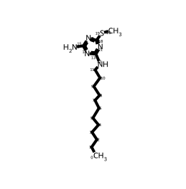 CCCCCCCCCCCCNc1nc(N)nc(SC)n1